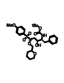 COc1ccc(S(=O)(=O)N(C[C@H](O)[C@H](Cc2ccccc2)NC(=O)OC(C)(C)C)OCC2CCCCO2)cc1